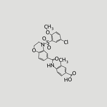 COc1ccc(Cl)cc1S(=O)(=O)N1CCOc2ccc(C(=O)Nc3ccc(C(=O)O)cc3C)cc21